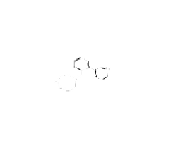 [c]1ncccc1-c1ccccc1CN1CCCNCC1